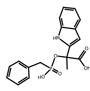 CC(OP(=O)(O)Cc1ccccc1)(C(=O)O)c1cc2ccccc2[nH]1